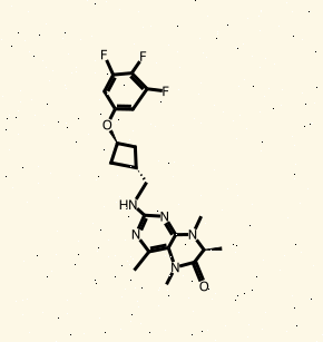 Cc1nc(NC[C@H]2C[C@H](Oc3cc(F)c(F)c(F)c3)C2)nc2c1N(C)C(=O)[C@H](C)N2C